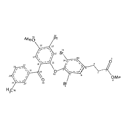 COC(=O)CCc1cc(Br)c(Oc2cc(C(C)C)c(OC)cc2C(=O)c2cccc(C)c2)c(Br)c1